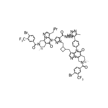 CNC(=O)c1cc(-n2c(=O)c3c(n4ncc(CC(C)C)c24)CN(C(=O)c2ccc(Br)c(C(F)(F)F)c2)[C@@H](C)C3)nn1CC1CCC1Cc1cnn2c3c(c(=O)n(-c4ccc(-c5[nH]nnc5C)cc4)c12)C[C@H](C)N(C(=O)c1ccc(Br)c(C(F)(F)F)c1)C3